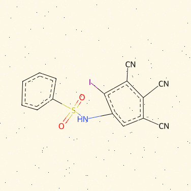 N#Cc1cc(NS(=O)(=O)c2ccccc2)c(I)c(C#N)c1C#N